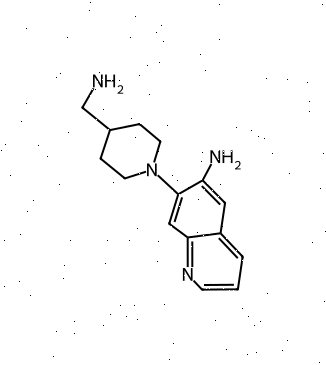 NCC1CCN(c2cc3ncccc3cc2N)CC1